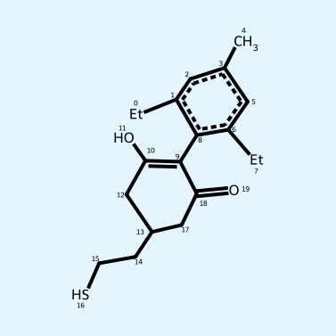 CCc1cc(C)cc(CC)c1C1=C(O)CC(CCS)CC1=O